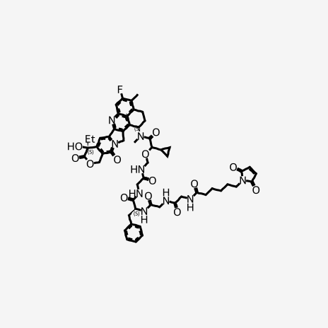 CC[C@@]1(O)C(=O)OCc2c1cc1n(c2=O)Cc2c-1nc1cc(F)c(C)c3c1c2[C@@H](N(C)C(=O)C(OCNC(=O)CNC(=O)[C@H](Cc1ccccc1)NC(=O)CNC(=O)CNC(=O)CCCCCN1C(=O)C=CC1=O)C1CC1)CC3